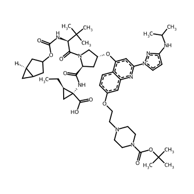 CC[C@@H]1C[C@]1(NC(=O)[C@@H]1C[C@@H](Oc2cc(-n3ccc(NC(C)C)n3)nc3cc(OCCN4CCN(C(=O)OC(C)(C)C)CC4)ccc23)CN1C(=O)[C@@H](NC(=O)OC1CC2C[C@H]2C1)C(C)(C)C)C(=O)O